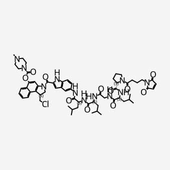 CC(C)C[C@H](NC(=O)CNC(=O)[C@H](CC(C)C)NC(=O)[C@@H]1CCCN1C(=O)CCCN1C(=O)C=CC1=O)C(=O)N[C@@H](CC(C)C)C(=O)Nc1ccc2[nH]c(C(=O)N3C[C@@H](CCl)c4c3cc(OC(=O)N3CCN(C)CC3)c3ccccc43)cc2c1